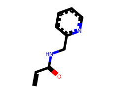 C=CC(=O)NCc1ccccn1